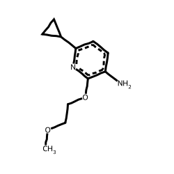 COCCOc1nc(C2CC2)ccc1N